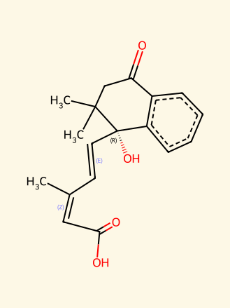 CC(=C/C(=O)O)/C=C/[C@]1(O)c2ccccc2C(=O)CC1(C)C